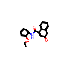 CCOc1ccccc1NC(=O)C1=CC(=O)Cc2ccccc21